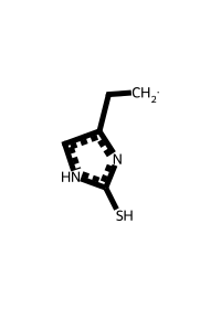 [CH2]Cc1c[nH]c(S)n1